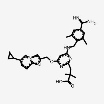 Cc1cc(C(=N)N)cc(C)c1CNc1cc(OCc2cn3cc(C4CC4)ccc3n2)nc(CC(C)(C)C(=O)O)n1